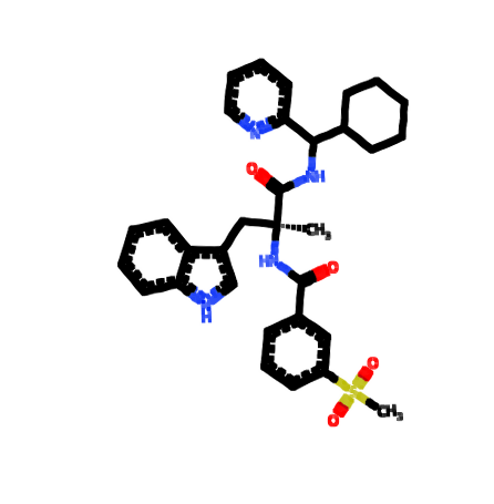 C[C@@](Cc1c[nH]c2ccccc12)(NC(=O)c1cccc(S(C)(=O)=O)c1)C(=O)NC(c1ccccn1)C1CCCCC1